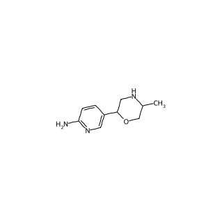 CC1COC(c2ccc(N)nc2)CN1